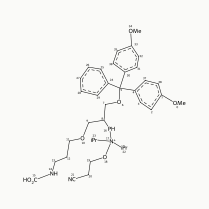 COc1ccc(C(OCC(COCCCNC(=O)O)P[N+](OCCC#N)(C(C)C)C(C)C)(c2ccccc2)c2ccc(OC)cc2)cc1